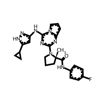 C[C@@]1(C(=O)Nc2ccc(F)cc2)CCCN1c1nc(Nc2cc(C3CC3)[nH]n2)n2cccc2n1